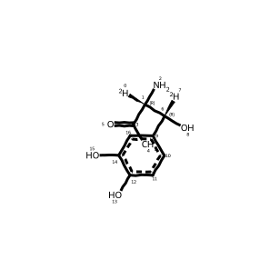 [2H][C@](N)(C(C)=O)[C@]([2H])(O)c1ccc(O)c(O)c1